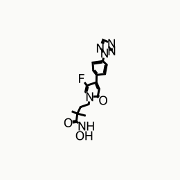 CC(C)(CCn1cc(F)c(-c2ccc(-n3ncnn3)cc2)cc1=O)C(=O)NO